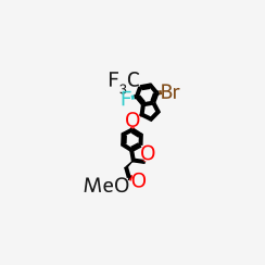 COC(=O)C[C@@H]1COc2cc(O[C@@H]3CCc4c(Br)cc(C(F)(F)F)c(F)c43)ccc21